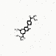 CCCN(CCC)C(=O)C1=Cc2cc(C)c(-c3ccc(C(=O)N(CCC)CCC)cc3)cc2N=C(N)C1